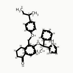 CCC(C)c1ccc(OCc2c(O[C@@](C)(c3ccccc3)c3ncc[nH]3)ccc3c2CCCC3=O)cc1